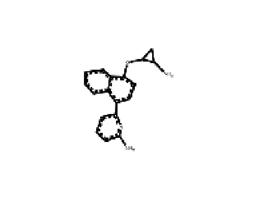 Nc1cccc(-c2ccc(OC3CC3N)c3ccccc23)n1